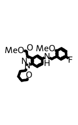 COC(=O)c1nn(C2CCCCO2)c2ccc(NCc3cc(F)ccc3OC)cc12